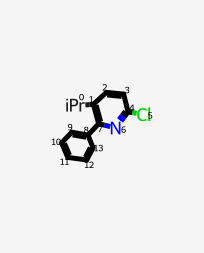 CC(C)c1ccc(Cl)nc1-c1ccccc1